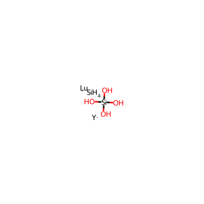 O[Si](O)(O)O.[Lu].[SiH4].[Y]